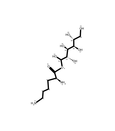 NCCCC[C@H](N)C(=O)OC(O)[C@@H](O)[C@@H](O)[C@H](O)[C@H](O)CO